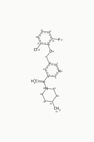 C=C(c1cncc(COc2c(F)cccc2Cl)c1)N1CCC(C)CC1